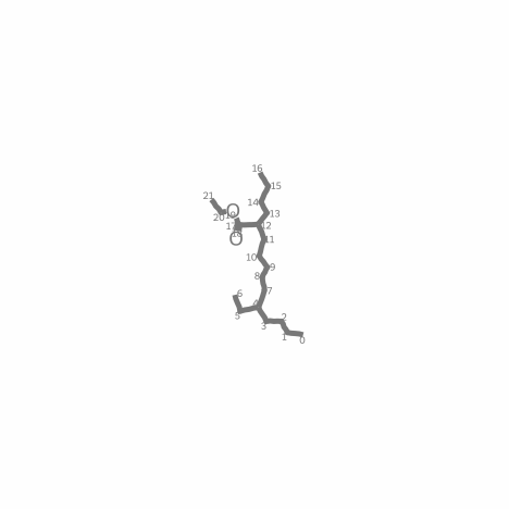 CCCCC(CC)CCCCCC(CCCC)C(=O)OCC